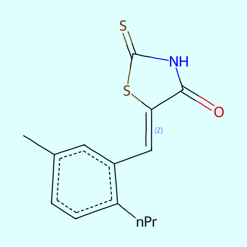 CCCc1ccc(C)cc1/C=C1\SC(=S)NC1=O